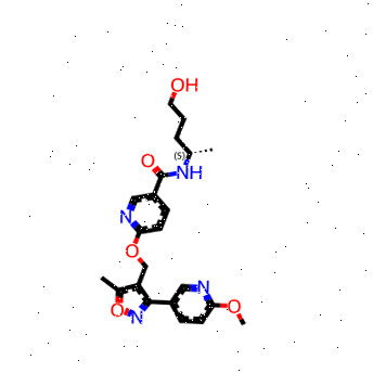 COc1ccc(-c2noc(C)c2COc2ccc(C(=O)N[C@@H](C)CCCO)cn2)cn1